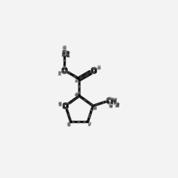 CCOC(=O)C1OCCC1C